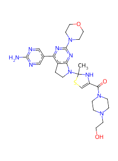 CC1(N2CCc3c(-c4cnc(N)nc4)nc(N4CCOCC4)nc32)NC(C(=O)N2CCN(CCO)CC2)=CS1